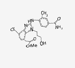 COC(=O)c1ccc(Cl)c2nc(Nc3ccc(C(N)=O)cc3C)n(CCCO)c12